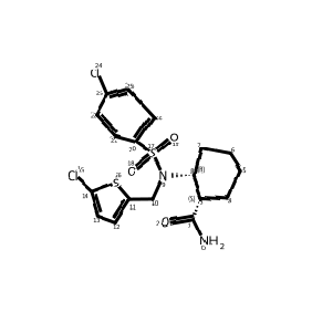 NC(=O)[C@H]1CCCC[C@H]1N(Cc1ccc(Cl)s1)S(=O)(=O)c1ccc(Cl)cc1